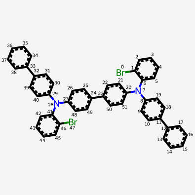 Brc1ccccc1N(c1ccc(-c2ccccc2)cc1)c1ccc(-c2ccc(N(c3ccc(-c4ccccc4)cc3)c3ccccc3Br)cc2)cc1